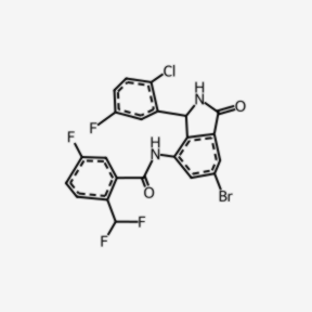 O=C(Nc1cc(Br)cc2c1C(c1cc(F)ccc1Cl)NC2=O)c1cc(F)ccc1C(F)F